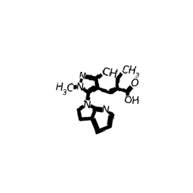 CC/C(=C\c1c(C)nn(C)c1N1CCc2cccnc21)C(=O)O